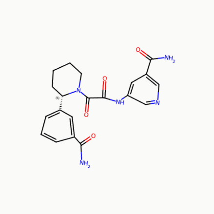 NC(=O)c1cncc(NC(=O)C(=O)N2CCCC[C@H]2c2cccc(C(N)=O)c2)c1